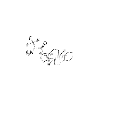 C[C@]12CC[C@H]3[C@@H](CC=C4CCCC[C@@]43C)[C@@H]1CC[C@@H]2C(=O)C(N)C(F)(F)F